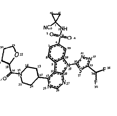 N#CC1(NS(=O)(=O)c2ccc3c4c(C5CCN(C(=O)C6CCCO6)CC5)ncnc4n(-c4nnc(C(F)F)s4)c3c2)CC1